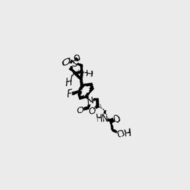 O=C(CO)NC[C@H]1CN(c2ccc(C3[C@H]4CS(=O)(=O)C[C@@H]34)c(F)c2)C(=O)O1